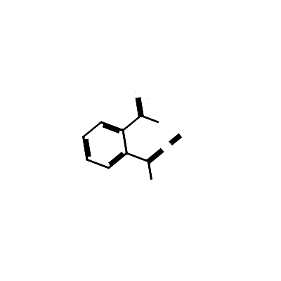 C=C=C(C)c1ccccc1C(=C)C